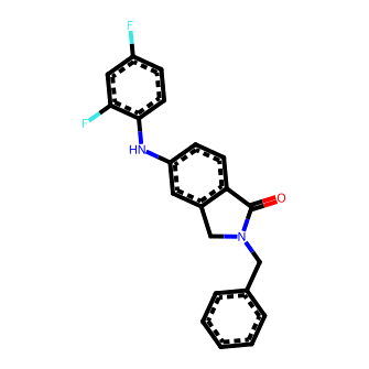 O=C1c2ccc(Nc3ccc(F)cc3F)cc2CN1Cc1ccccc1